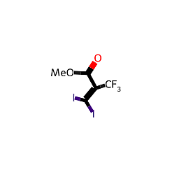 COC(=O)C(=C(I)I)C(F)(F)F